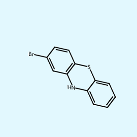 Brc1ccc2c(c1)Nc1ccccc1S2